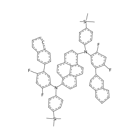 C[Si](C)(C)c1ccc(N(c2cc(-c3ccc4ccccc4c3)c(F)cc2F)c2ccc3ccc4c(N(c5ccc([Si](C)(C)C)cc5)c5cc(-c6ccc7ccccc7c6)c(F)cc5F)ccc5ccc2c3c54)cc1